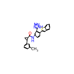 Cc1cccc(C2CC2C(=O)Nc2ccc(-c3cc4ccccc4s3)c(-c3nnn[nH]3)c2)c1